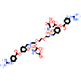 N=C(N)Nc1ccc(C(=O)Oc2ccc(CN(CCOCCOCCN(Cc3ccc(OC(=O)c4ccc(NC(=N)N)cc4)cc3)S(=O)(=O)N[C@@H](CC(=O)O)C(=O)O)S(=O)(=O)N[C@@H](CC(=O)O)C(=O)O)cc2)cc1